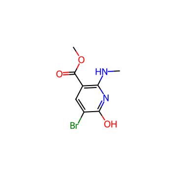 CNc1nc(O)c(Br)cc1C(=O)OC